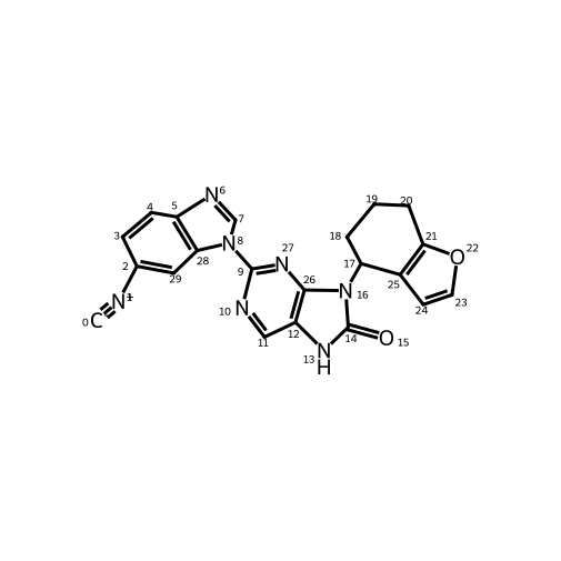 [C-]#[N+]c1ccc2ncn(-c3ncc4[nH]c(=O)n(C5CCCc6occc65)c4n3)c2c1